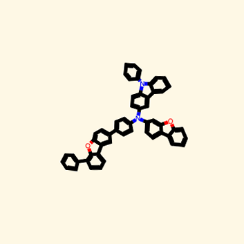 c1ccc(-c2cccc3c2oc2ccc(-c4ccc(N(c5ccc6c(c5)oc5ccccc56)c5ccc6c(c5)c5ccccc5n6-c5ccccc5)cc4)cc23)cc1